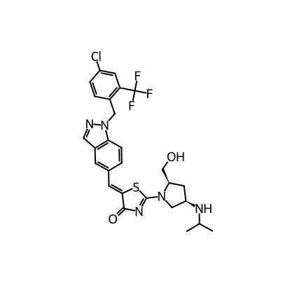 CC(C)N[C@@H]1C[C@H](CO)N(C2=NC(=O)/C(=C/c3ccc4c(cnn4Cc4ccc(Cl)cc4C(F)(F)F)c3)S2)C1